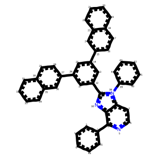 c1ccc(-c2nccc3c2nc(-c2cc(-c4ccc5ccccc5c4)cc(-c4ccc5ccccc5c4)c2)n3-c2ccccc2)cc1